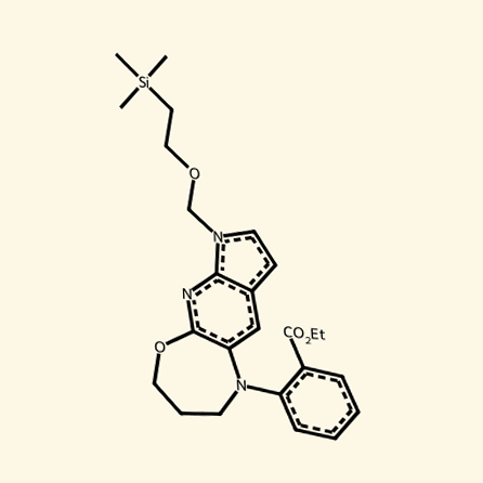 CCOC(=O)c1ccccc1N1CCCOc2nc3c(ccn3COCC[Si](C)(C)C)cc21